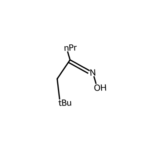 CCCC(CC(C)(C)C)=NO